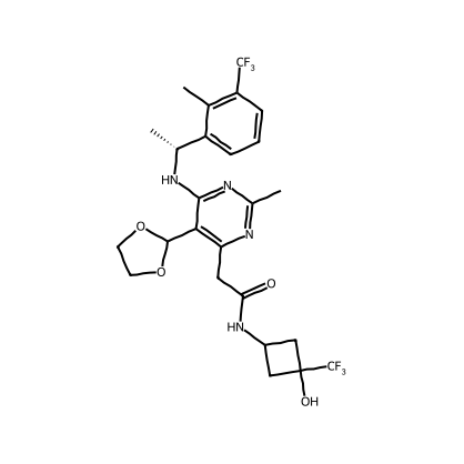 Cc1nc(CC(=O)NC2CC(O)(C(F)(F)F)C2)c(C2OCCO2)c(N[C@H](C)c2cccc(C(F)(F)F)c2C)n1